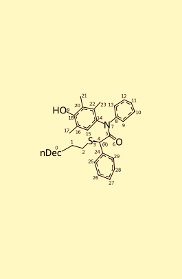 CCCCCCCCCCCCS[C@@H](C(=O)N(c1ccccc1)c1cc(C)c(O)c(C)c1C)c1ccccc1